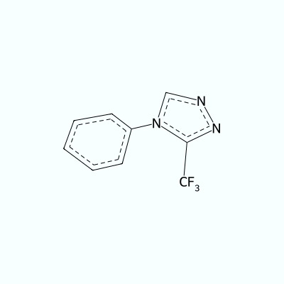 FC(F)(F)c1nncn1-c1ccccc1